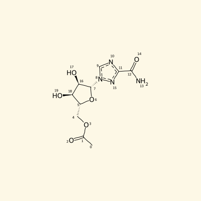 CC(=O)OC[C@H]1O[C@@H](n2cnc(C(N)=O)n2)[C@H](O)[C@@H]1O